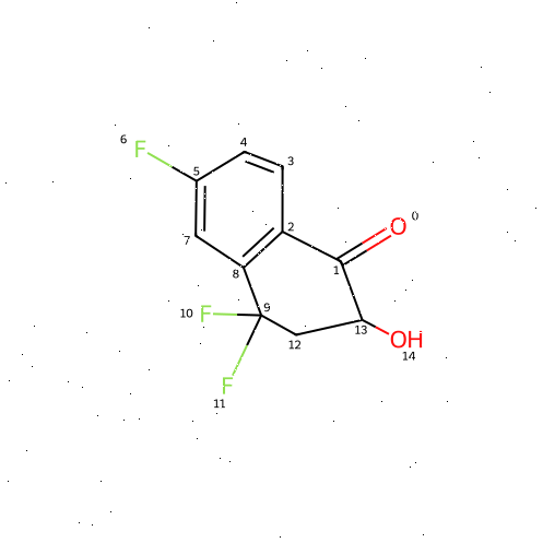 O=C1c2ccc(F)cc2C(F)(F)CC1O